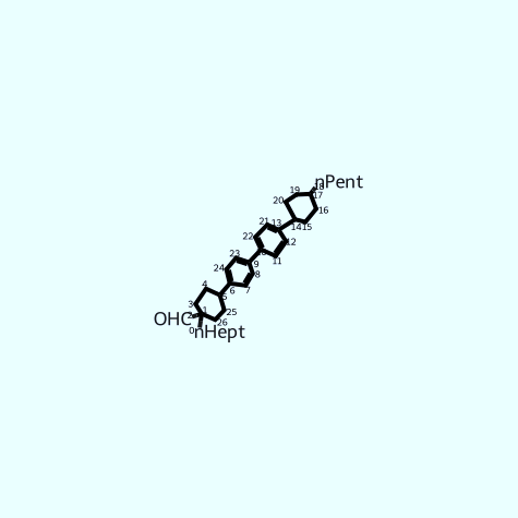 CCCCCCCC1(C=O)CCC(c2ccc(-c3ccc(C4CCC(CCCCC)CC4)cc3)cc2)CC1